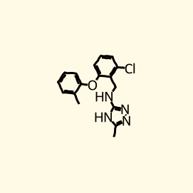 Cc1nnc(NCc2c(Cl)cccc2Oc2ccccc2C)[nH]1